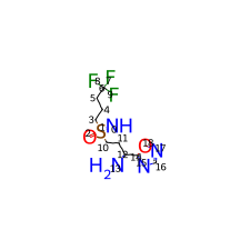 N=S(=O)(CCCC(F)(F)F)CC[C@H](N)c1ncno1